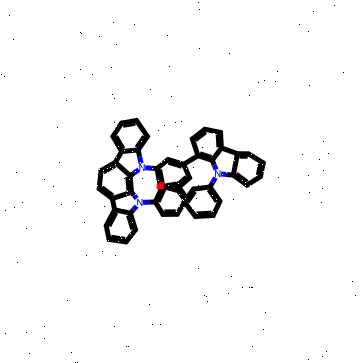 c1ccc(-n2c3ccccc3c3cccc(-c4cccc(-n5c6ccccc6c6ccc7c8ccccc8n(-c8ccccc8)c7c65)c4)c32)cc1